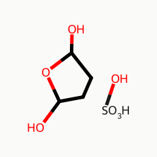 O=S(=O)(O)O.OC1CCC(O)O1